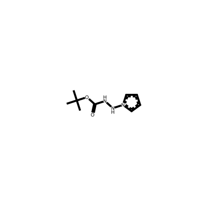 CC(C)(C)OC(=O)NNn1cccc1